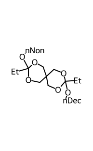 CCCCCCCCCCOC1(CC)OCC2(COC(CC)(OCCCCCCCCC)OC2)CO1